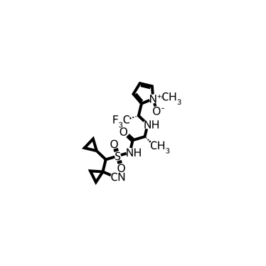 C[C@@H](N[C@@H](C1=CC=C[N+]1(C)[O-])C(F)(F)F)C(=O)NS(=O)(=O)C(C1CC1)C1(C#N)CC1